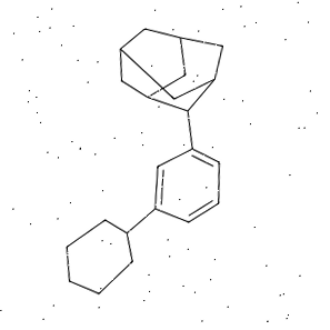 c1cc(C2CCCCC2)cc(C2C3CC4CC(C3)CC2C4)c1